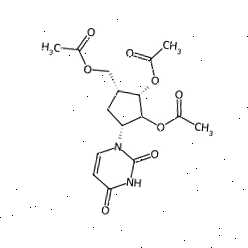 CC(=O)OC[C@H]1C[C@@H](n2ccc(=O)[nH]c2=O)C(OC(C)=O)[C@H]1OC(C)=O